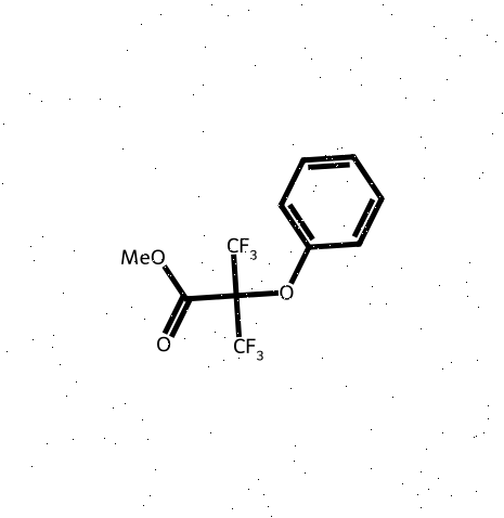 COC(=O)C(Oc1ccccc1)(C(F)(F)F)C(F)(F)F